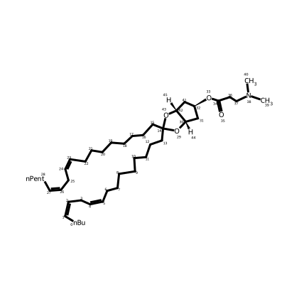 CCCC/C=C\C/C=C\CCCCCCCCC1(CCCCCCCC/C=C\C/C=C\CCCCC)O[C@H]2C[C@H](OC(=O)CCN(C)C)C[C@H]2O1